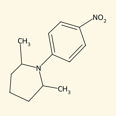 CC1CCCC(C)N1c1ccc([N+](=O)[O-])cc1